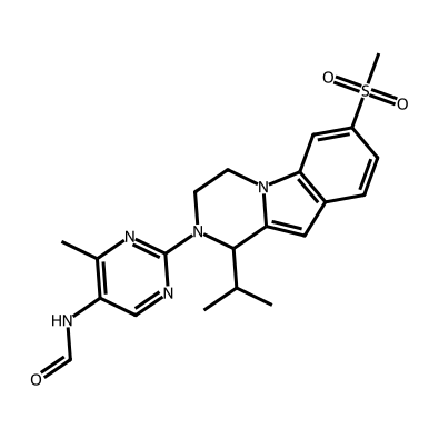 Cc1nc(N2CCn3c(cc4ccc(S(C)(=O)=O)cc43)C2C(C)C)ncc1NC=O